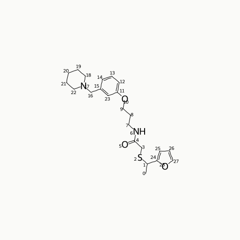 CC(SCC(=O)NCCCOc1cccc(CN2CCCCC2)c1)c1ccco1